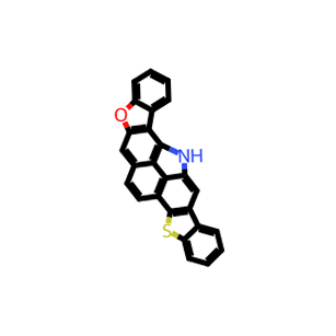 c1ccc2c(c1)oc1cc3ccc4c5sc6ccccc6c5cc5[nH]c(c12)c3c54